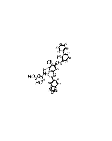 O=C(O)C(CO)NCc1cc(Cl)c(OCc2cccc(-c3ccccc3)c2F)cc1OCc1ccc2nonc2c1